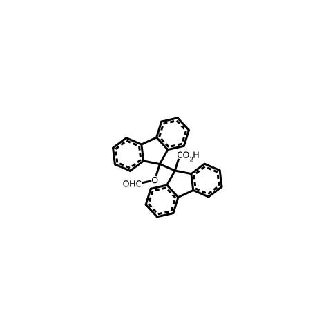 O=COC1(C2(C(=O)O)c3ccccc3-c3ccccc32)c2ccccc2-c2ccccc21